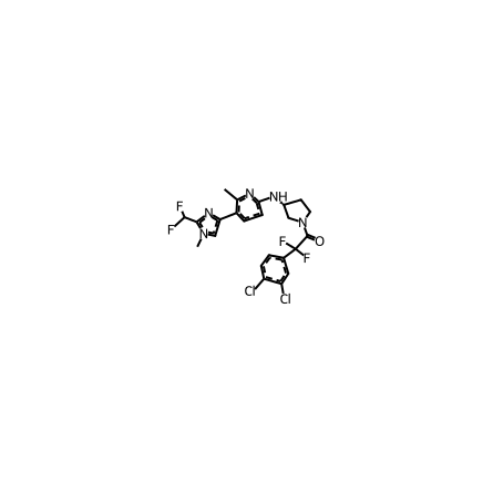 Cc1nc(N[C@H]2CCN(C(=O)C(F)(F)c3ccc(Cl)c(Cl)c3)C2)ccc1-c1cn(C)c(C(F)F)n1